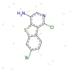 Nc1cnc(Cl)c2c1sc1cc(Br)ccc12